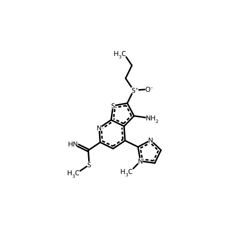 CCC[S+]([O-])c1sc2nc(C(=N)SC)cc(-c3nccn3C)c2c1N